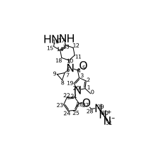 Cc1cc(C(=O)N(C2CC2)C2CCC3=C(CNN3)C2)cn1-c1ccccc1OCN=[N+]=[N-]